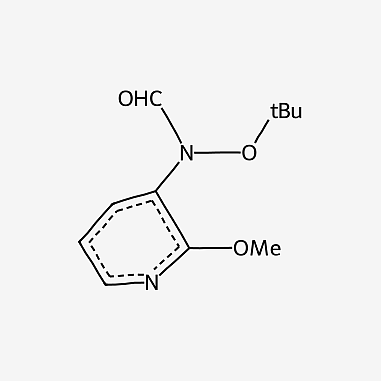 COc1ncccc1N(C=O)OC(C)(C)C